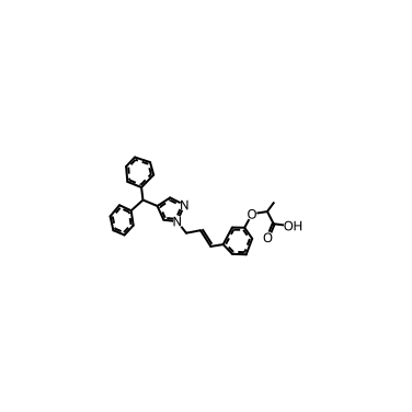 CC(Oc1cccc(C=CCn2cc(C(c3ccccc3)c3ccccc3)cn2)c1)C(=O)O